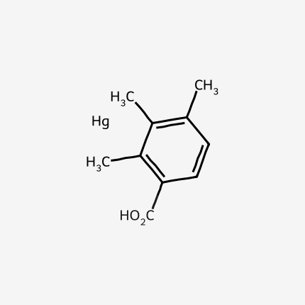 Cc1ccc(C(=O)O)c(C)c1C.[Hg]